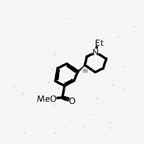 CCN1CCC[C@@H](c2cccc(C(=O)OC)c2)C1